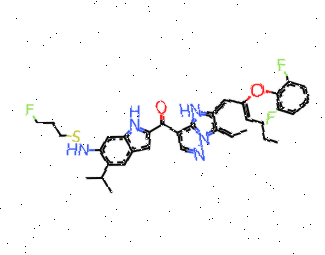 C\C=c1/c(=C\C(=C\CCC)Oc2c(F)cccc2F)[nH]c2c(C(=O)c3cc4cc(C(C)C)c(NSCCCF)cc4[nH]3)cnn12